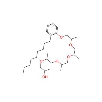 CCCCCCCCCc1ccccc1OCC(C)OCC(C)OCC(C)OCC(C)OCC(C)O